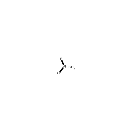 [BiH3].[F][Al][Cl]